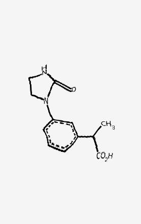 CC(C(=O)O)c1cccc(N2CCNC2=O)c1